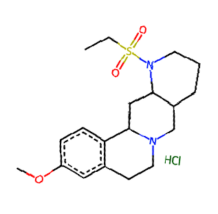 CCS(=O)(=O)N1CCCC2CN3CCc4cc(OC)ccc4C3CC21.Cl